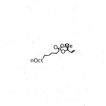 C=CC(=O)OP(=O)(CCCCCCCCCCCC)OC